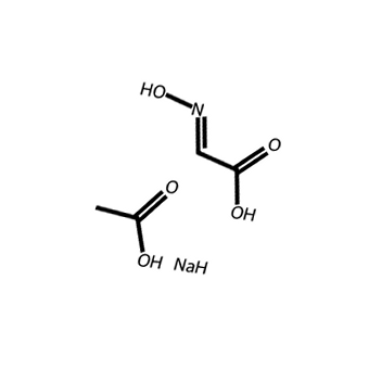 CC(=O)O.O=C(O)C=NO.[NaH]